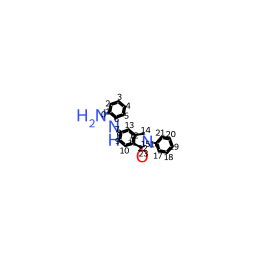 Nc1ccccc1Nc1ccc2c(c1)CN(c1ccccc1)C2=O